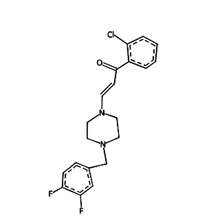 O=C(C=CN1CCN(Cc2ccc(F)c(F)c2)CC1)c1ccccc1Cl